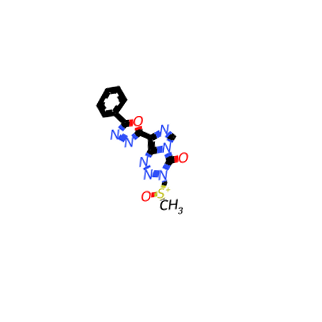 C[S+]([O-])Cn1nnc2c(-c3nnc(-c4ccccc4)o3)ncn2c1=O